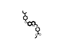 CCOC(=O)C1CCN(Cc2ccc3cc(OC4CCC(C(C)CC)CC4)ccc3n2)CC1